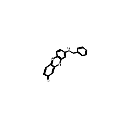 O=c1ccc2nc3ccc(NCc4ccccc4)cc3oc-2c1